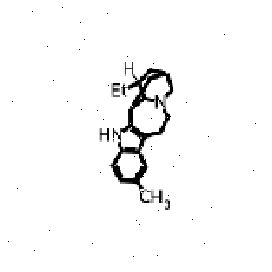 CC[C@H]1CC2CC3c4[nH]c5ccc(C)cc5c4CCN(C2)C31